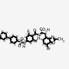 Cc1nc2c(C[C@H](NC(=O)c3c(F)cc(NS(=O)(=O)c4ccc(-c5ccnc(F)c5)cc4)cc3F)C(=O)O)ccc(Br)c2o1